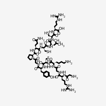 CC(C)C[C@H](NC(=O)[C@H](CS)NC(=O)[C@H](CCC(N)=O)NC(=O)[C@@H]1CCCN1C(=O)CNC(=O)[C@H](Cc1ccc(O)cc1)NC(=O)[C@H](CS)NC(=O)[C@H](CCCCN)NC(=O)CNC(=O)[C@H](CCCNC(=N)N)NC(=O)CN)C(=O)N[C@@H](CS)C(=O)N[C@@H](CCCNC(=N)N)C(=O)O